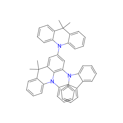 CC1(C)c2ccccc2N(c2cc(-n3c4ccccc4c4ccccc43)c3c(c2)C(C)(C)c2ccccc2N3c2ccccc2)c2ccccc21